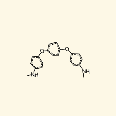 CNc1ccc(Oc2ccc(Oc3ccc(NC)cc3)cc2)cc1